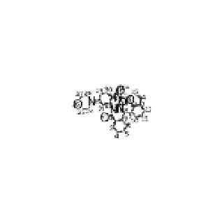 O=c1c2ccccc2c(-c2cccc3ccoc23)nn1-c1cc(N2CCOCC2)ccc1[N+](=O)[O-]